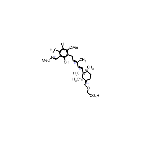 CO/N=C/c1c(C)c(Cl)c(OC)c(C/C=C(C)/C=C/[C@@]2(C)[C@H](C)CC/C(=N\OCC(=O)O)[C@@H]2C)c1O